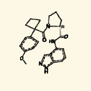 COc1ccc(C2(C(=O)N3CCC[C@@H]3C(=O)Nc3cccc4[nH]ncc34)CCC2)cc1